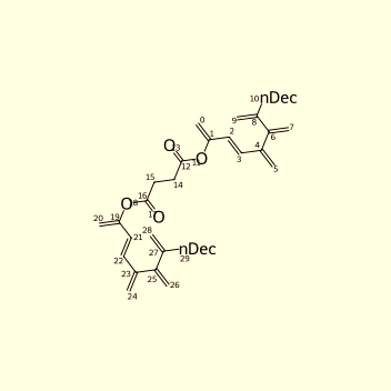 C=C(/C=C/C(=C)C(=C)C(=C)CCCCCCCCCC)OC(=O)CCC(=O)OC(=C)/C=C/C(=C)C(=C)C(=C)CCCCCCCCCC